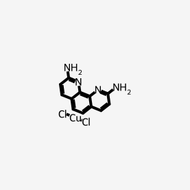 Nc1ccc2ccc3ccc(N)nc3c2n1.[Cl][Cu][Cl]